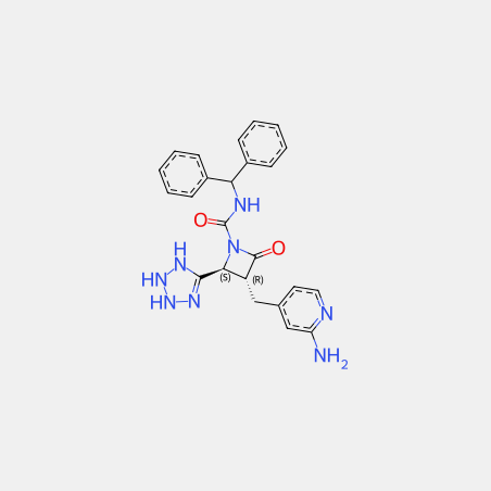 Nc1cc(C[C@H]2C(=O)N(C(=O)NC(c3ccccc3)c3ccccc3)[C@@H]2C2=NNNN2)ccn1